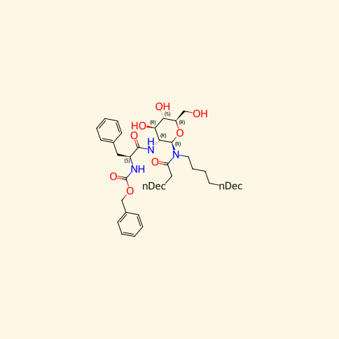 CCCCCCCCCCCCCCN(C(=O)CCCCCCCCCCC)[C@@H]1O[C@H](CO)[C@@H](O)[C@H](O)[C@H]1NC(=O)[C@H](Cc1ccccc1)NC(=O)OCc1ccccc1